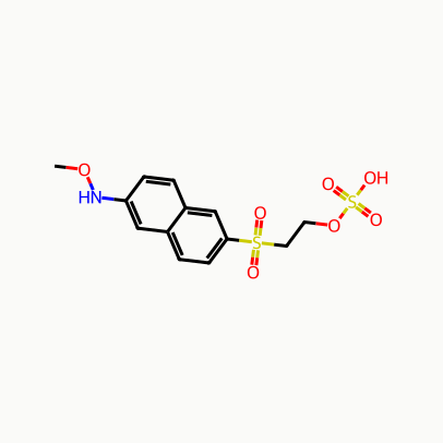 CONc1ccc2cc(S(=O)(=O)CCOS(=O)(=O)O)ccc2c1